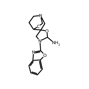 NC1OC2(CN3CCC2CC3)CN1c1nc2ccccc2o1